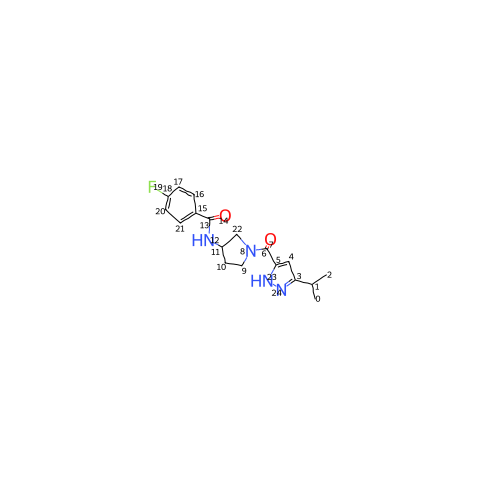 CC(C)c1cc(C(=O)N2CCC(NC(=O)c3ccc(F)cc3)C2)[nH]n1